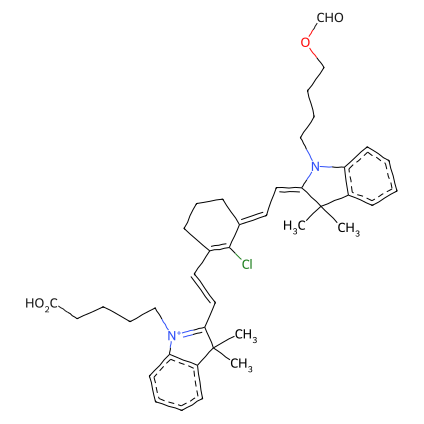 CC1(C)C(/C=C/C2=C(Cl)C(=C/C=C3/N(CCCCOC=O)c4ccccc4C3(C)C)/CCC2)=[N+](CCCCC(=O)O)c2ccccc21